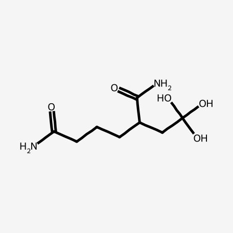 NC(=O)CCCC(CC(O)(O)O)C(N)=O